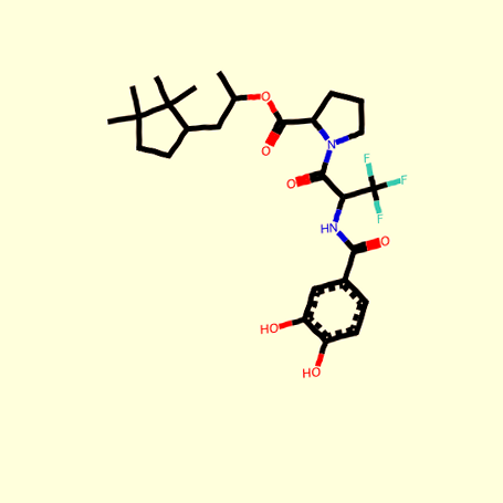 CC(CC1CCC(C)(C)C1(C)C)OC(=O)C1CCCN1C(=O)C(NC(=O)c1ccc(O)c(O)c1)C(F)(F)F